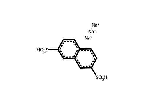 O=S(=O)(O)c1ccc2ccc(S(=O)(=O)O)cc2c1.[Na+].[Na+].[Na+]